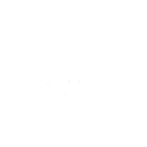 CN1C(=O)c2c(OCc3ccccc3)c(=O)ccn2N(C(c2cc(F)c(F)cc2O)c2ccccc2Br)C1CCO